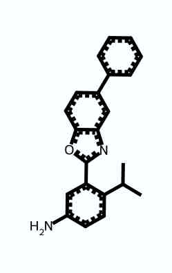 CC(C)c1ccc(N)cc1-c1nc2cc(-c3ccccc3)ccc2o1